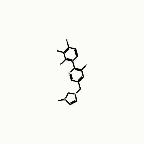 Cc1c(F)ccc(-c2ncc(CN3C=CN(C)C3)cc2F)c1F